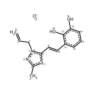 C=CC[n+]1nc(C)sc1/C=C/c1cccc(O)c1O.[Cl-]